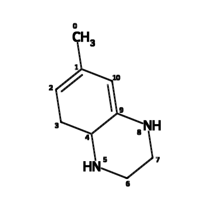 CC1=CCC2NCCNC2=C1